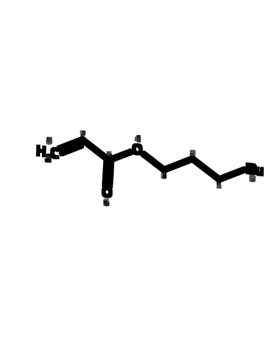 [CH2]CC(C)CCCOC(=O)C=C